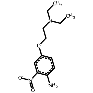 CCN(CC)CCOc1ccc(N)c([N+](=O)[O-])c1